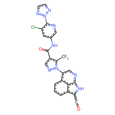 O=C=c1[nH]c2ncc(-n3ncc(C(=O)Nc4cnc(-n5nccn5)c(Cl)c4)c3C(F)(F)F)c3cccc1c23